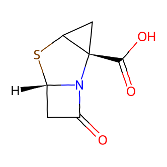 O=C1C[C@@H]2SC3C[C@]3(C(=O)O)N12